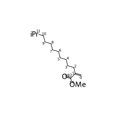 C=C(CCCCCCCCCC(C)C)C(=O)OC